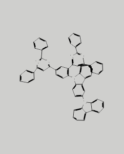 c1ccc(-c2cc(-c3ccc(-n4c5ccccc5c5cc(-n6c7ccccc7c7ccccc76)ccc54)c(-c4cc(-c5ccccc5)nc(-c5ccccc5)n4)c3)nc(-c3ccccc3)n2)cc1